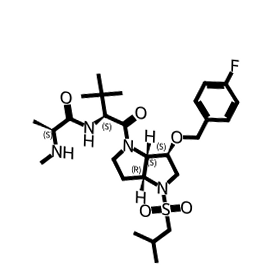 CN[C@@H](C)C(=O)N[C@H](C(=O)N1CC[C@@H]2[C@H]1[C@@H](OCc1ccc(F)cc1)CN2S(=O)(=O)CC(C)C)C(C)(C)C